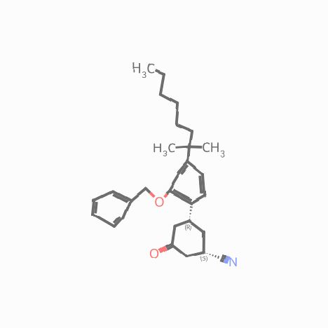 CCCCCCC(C)(C)c1ccc([C@H]2CC(=O)C[C@@H](C#N)C2)c(OCc2ccccc2)c1